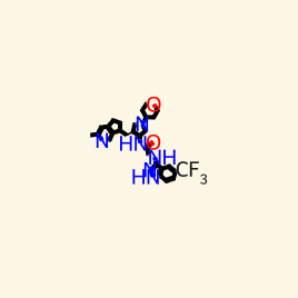 Cc1cc2c(cn1)C(C[C@H]1CN(C3CCOCC3)CC1NC(=O)CNc1n[nH]c3ccc(C(F)(F)F)cc13)CC2